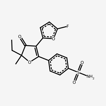 CCC1(C)OC(c2ccc(S(N)(=O)=O)cc2)=C(c2ccc(F)o2)C1=O